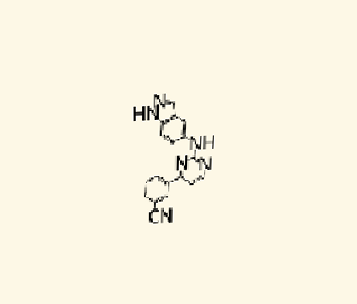 N#Cc1cccc(-c2ccnc(Nc3ccc4[nH]ncc4c3)n2)c1